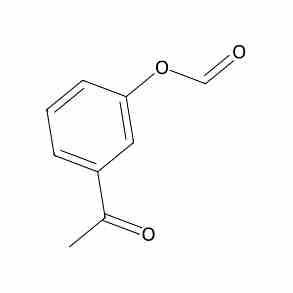 CC(=O)c1cccc(OC=O)c1